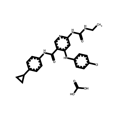 CCNC(=O)Nc1cc(Nc2ccc(Cl)cc2)c(C(=O)Nc2ccc(C3CC3)cc2)cn1.O=C(O)O